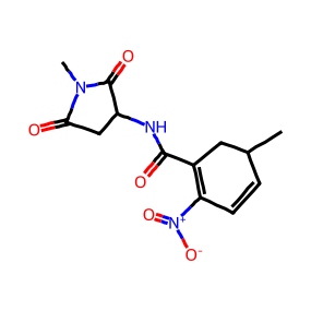 CC1C=CC([N+](=O)[O-])=C(C(=O)NC2CC(=O)N(C)C2=O)C1